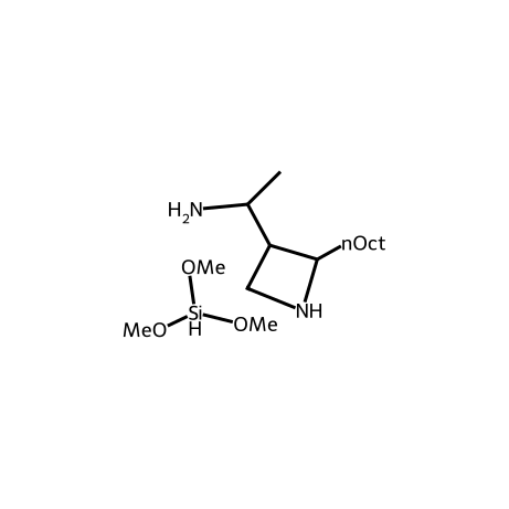 CCCCCCCCC1NCC1C(C)N.CO[SiH](OC)OC